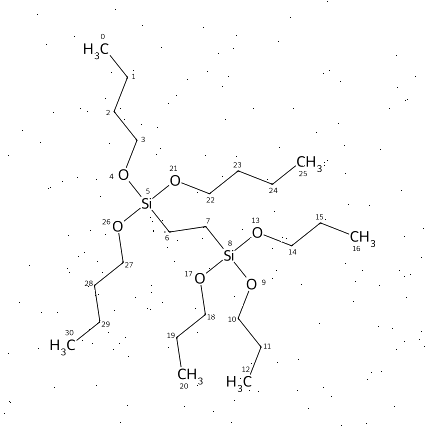 CCCCO[Si]([CH]C[Si](OCCC)(OCCC)OCCC)(OCCCC)OCCCC